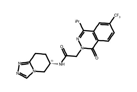 CC(C)c1nn(CC(=O)N[C@H]2CCc3nncn3C2)c(=O)c2ccc(C(F)(F)F)cc12